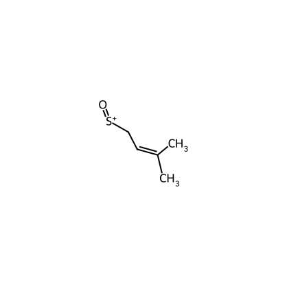 CC(C)=CC[S+]=O